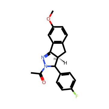 COc1ccc2c(c1)C1=NN(C(C)=O)C(c3ccc(F)cc3)[C@@H]1C2